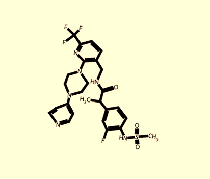 CC(C(=O)NCc1ccc(C(F)(F)F)nc1N1CCN(c2ccncc2)CC1)c1ccc(NS(C)(=O)=O)c(F)c1